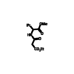 CCOC(=O)CC(=O)NC(C(=O)OC)C(C)C